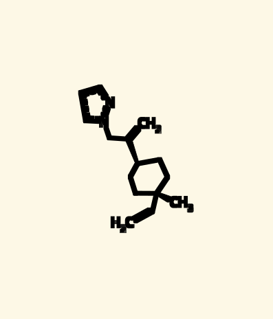 C=C[C@]1(C)CC[C@@H](C(=C)Cn2cccn2)CC1